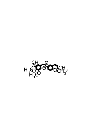 COc1cc(CS(=O)(=O)c2ccc3c(c2)C=CC(C)(C)O3)cc(OC)c1OC